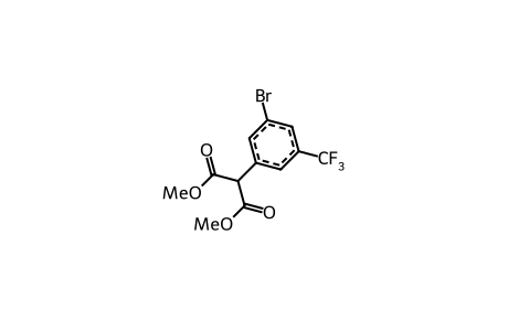 COC(=O)C(C(=O)OC)c1cc(Br)cc(C(F)(F)F)c1